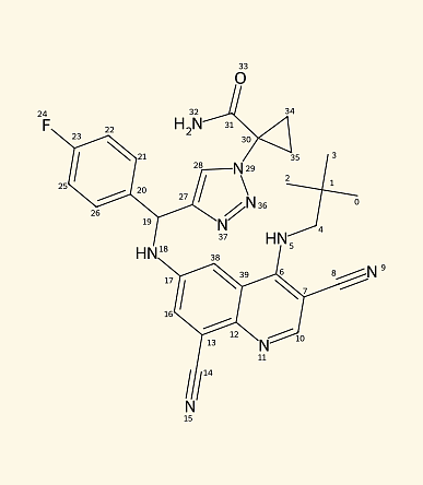 CC(C)(C)CNc1c(C#N)cnc2c(C#N)cc(NC(c3ccc(F)cc3)c3cn(C4(C(N)=O)CC4)nn3)cc12